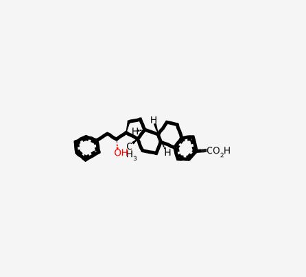 C[C@]12CC[C@@H]3c4ccc(C(=O)O)cc4CC[C@H]3[C@@H]1CC[C@@H]2[C@H](O)Cc1ccccc1